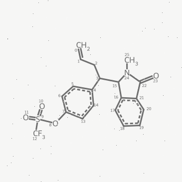 C=CCC(c1ccc(OS(=O)(=O)C(F)(F)F)cc1)C1c2ccccc2C(=O)N1C